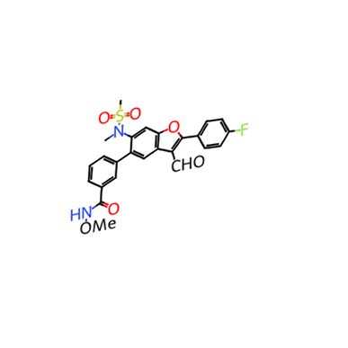 CONC(=O)c1cccc(-c2cc3c(C=O)c(-c4ccc(F)cc4)oc3cc2N(C)S(C)(=O)=O)c1